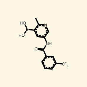 Cc1ncc(NC(=O)c2cccc(C(F)(F)F)c2)cc1B(O)O